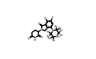 [2H]C1([2H])NC([2H])([2H])C([2H])([2H])N(c2cc(F)c(F)c3c2CN(C2CCC(=O)NC2=O)C3=O)C1([2H])[2H]